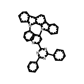 c1ccc(-c2nc(-c3ccccc3)nc(-c3cc(-n4c5ccccc5c5ccc6c7ccccc7n(-c7ccccc7)c6c54)ccn3)n2)cc1